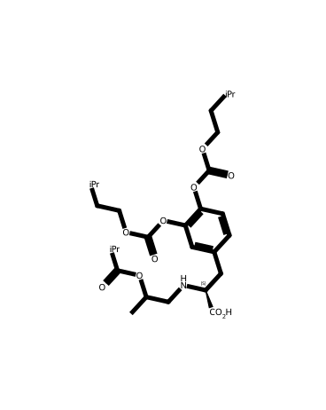 CC(C)CCOC(=O)Oc1ccc(C[C@H](NCC(C)OC(=O)C(C)C)C(=O)O)cc1OC(=O)OCCC(C)C